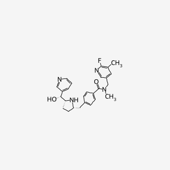 Cc1cc(CN(C)C(=O)c2ccc(C[C@@H]3CC[C@H]([C@H](O)c4cccnc4)N3)cc2)cnc1F